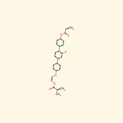 C=CC(=O)Oc1ccc(-c2ccc(-c3ccc(O/C=C\OC(=O)C(=C)C)cc3)cc2F)cc1